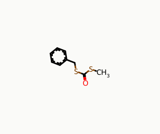 CSC(=O)SCc1ccccc1